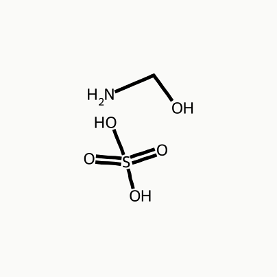 NCO.O=S(=O)(O)O